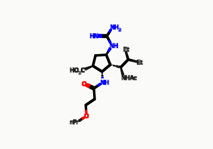 CCCOCCC(=O)N[C@H]1[C@@H]([C@H](NC(C)=O)C(CC)CC)[C@H](NC(=N)N)C[C@@H]1C(=O)O